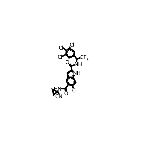 N#CC1(NC(=O)c2cc3cc(C(=O)NC(c4cc(Cl)c(Cl)c(Cl)c4)C(F)(F)F)[nH]c3cc2Cl)CC1